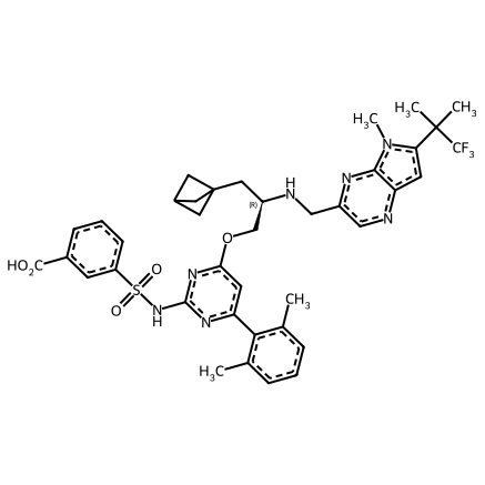 Cc1cccc(C)c1-c1cc(OC[C@@H](CC23CC(C2)C3)NCc2cnc3cc(C(C)(C)C(F)(F)F)n(C)c3n2)nc(NS(=O)(=O)c2cccc(C(=O)O)c2)n1